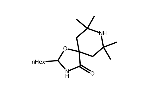 CCCCCCC1NC(=O)C2(CC(C)(C)NC(C)(C)C2)O1